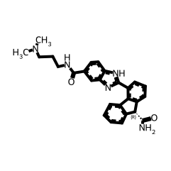 CN(C)CCCNC(=O)c1ccc2[nH]c(-c3cccc4c3-c3ccccc3[C@H]4C(N)=O)nc2c1